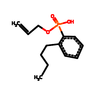 C=CCOP(=O)(O)c1ccccc1CCCC